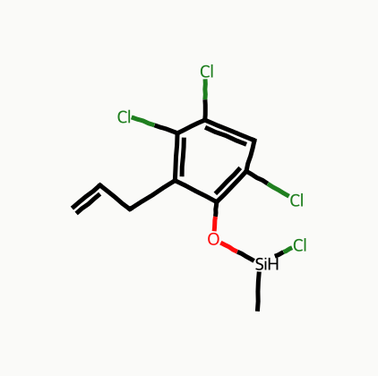 C=CCc1c(Cl)c(Cl)cc(Cl)c1O[SiH](C)Cl